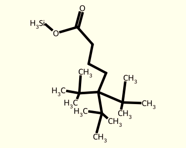 CC(C)(C)C(CCCC(=O)O[SiH3])(C(C)(C)C)C(C)(C)C